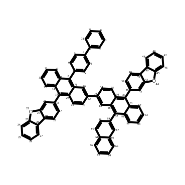 c1ccc(-c2ccc(-c3c4ccccc4c(-c4ccc5c(c4)oc4ccccc45)c4ccc(-c5ccc6c(-c7ccc8c(c7)oc7ccccc78)c7ccccc7c(-c7ccc8ccccc8c7)c6c5)cc34)cc2)cc1